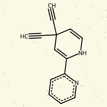 C#CC1(C#C)C=CNC(c2ccccn2)=C1